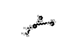 CCN(C)CCCN(C)C(=O)Oc1ccc(C(CCCCCCSSc2ncccc2[N+](=O)[O-])OC(=O)ON2C(=O)CCC2=O)cc1